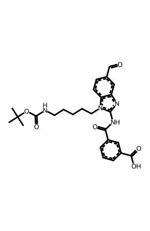 CC(C)(C)OC(=O)NCCCCCn1c(NC(=O)c2cccc(C(=O)O)c2)nc2cc(C=O)ccc21